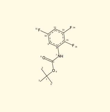 CC(C)(C)OC(=O)Nc1cc(F)cc(F)c1F